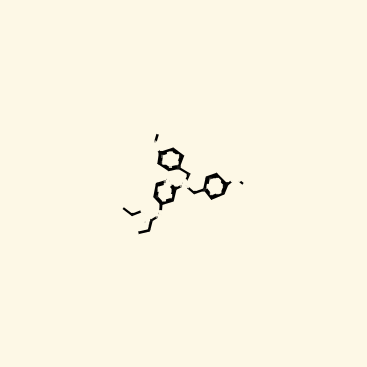 CCC[C@@H](CC)Nc1ccnc(N(Cc2ccc(OC)cc2)Cc2ccc(OC)cc2)c1